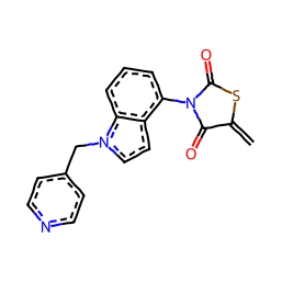 C=C1SC(=O)N(c2cccc3c2ccn3Cc2ccncc2)C1=O